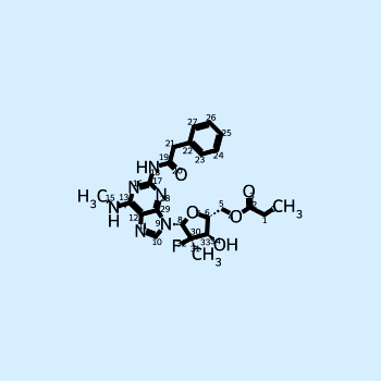 CCC(=O)OC[C@H]1O[C@@H](n2cnc3c(NC)nc(NC(=O)Cc4ccccc4)nc32)[C@](C)(F)[C@@H]1O